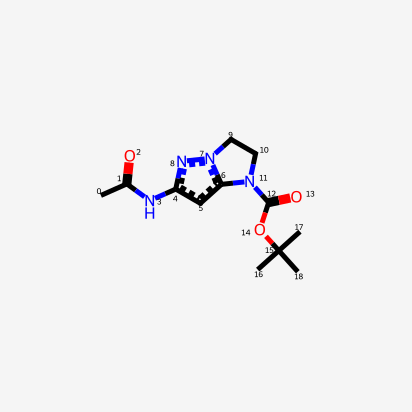 CC(=O)Nc1cc2n(n1)CCN2C(=O)OC(C)(C)C